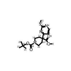 COC(=O)C1(c2ccnc(SC)n2)CCN(C(=O)OC(C)(C)C)CC1